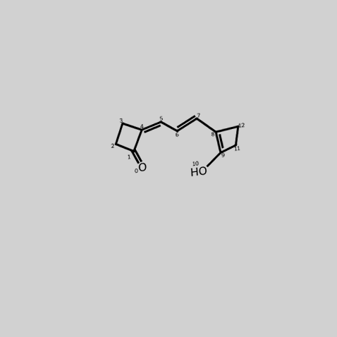 O=C1CCC1=CC=CC1=C(O)CC1